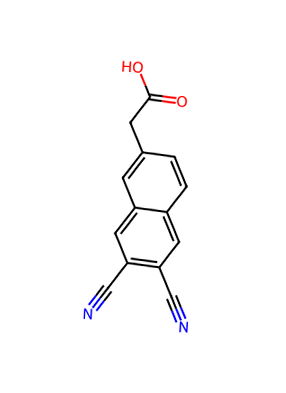 N#Cc1cc2ccc(CC(=O)O)cc2cc1C#N